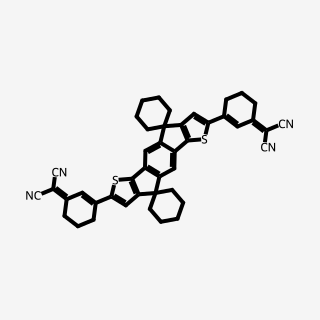 N#CC(C#N)=C1C=C(c2cc3c(s2)-c2cc4c(cc2C32CCCCC2)-c2sc(C3=CC(=C(C#N)C#N)CCC3)cc2C42CCCCC2)CCC1